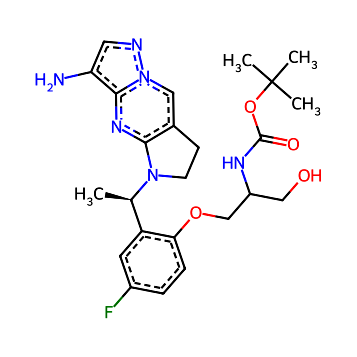 C[C@H](c1cc(F)ccc1OCC(CO)NC(=O)OC(C)(C)C)N1CCc2cn3ncc(N)c3nc21